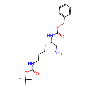 CC(C)(C)OC(=O)NCCCC[C@@H](CN)NC(=O)OCc1ccccc1